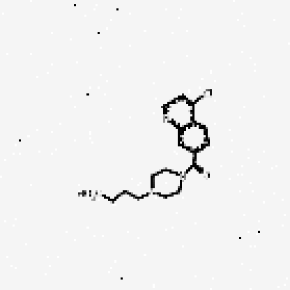 O=C(O)CCCN1CCN(C(=O)c2ccc3c(Cl)ccnc3c2)CC1